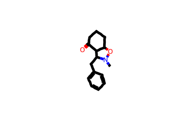 CN1OC2CCCC(=O)C2C1Cc1ccccc1